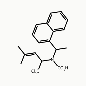 CC(C)=CC(N(C(=O)O)C(C)c1cccc2ccccc12)C(Cl)(Cl)Cl